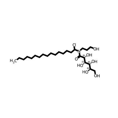 CCCCCCCCCCCCCCCC(Cl)N(CCCO)C(=O)[C@H](O)[C@@H](O)[C@H](O)[C@H](O)CO